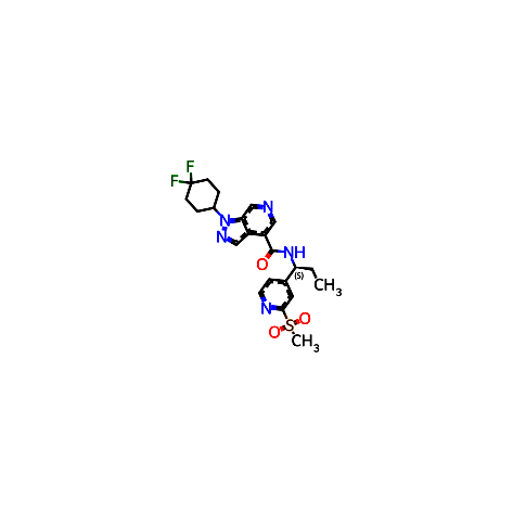 CC[C@H](NC(=O)c1cncc2c1cnn2C1CCC(F)(F)CC1)c1ccnc(S(C)(=O)=O)c1